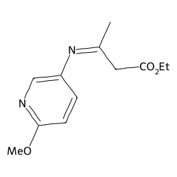 CCOC(=O)CC(C)=Nc1ccc(OC)nc1